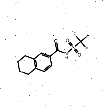 O=C(NS(=O)(=O)C(F)(F)F)c1ccc2c(c1)CCCC2